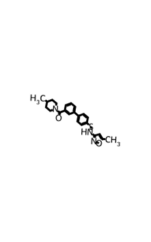 Cc1cc(NSc2ccc(-c3cccc(C(=O)N4CCC(C)CC4)c3)cc2)no1